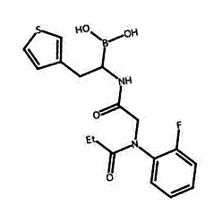 CCC(=O)N(CC(=O)NC(Cc1ccsc1)B(O)O)c1ccccc1F